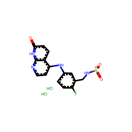 Cl.Cl.O=c1ccc2c(Nc3ccc(F)c(CN[SH](=O)=O)c3)ccnc2[nH]1